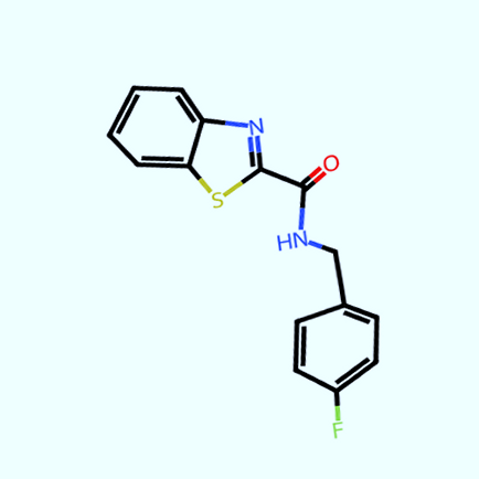 O=C(NCc1ccc(F)cc1)c1nc2ccccc2s1